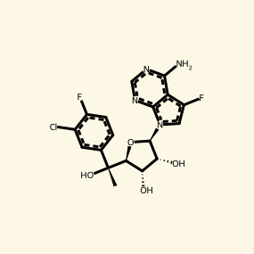 C[C@@](O)(c1ccc(F)c(Cl)c1)[C@H]1O[C@@H](n2cc(F)c3c(N)ncnc32)[C@H](O)[C@@H]1O